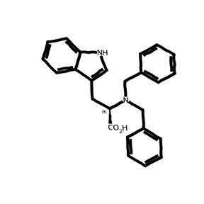 O=C(O)[C@@H](Cc1c[nH]c2ccccc12)N(Cc1ccccc1)Cc1ccccc1